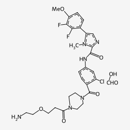 COc1ccc(-c2cnc(C(=O)Nc3ccc(C(=O)N4CCN(C(=O)CCOCCN)CC4)c(Cl)c3)n2C)c(F)c1F.O=CO